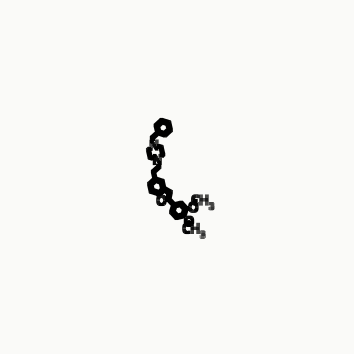 COc1ccc(-c2cc3cc(CCN4CCN(Cc5ccccc5)CC4)ccc3o2)cc1OC